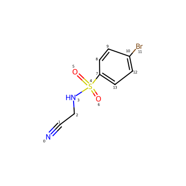 N#CCNS(=O)(=O)c1ccc(Br)cc1